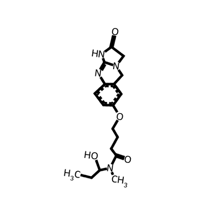 CCC(O)N(C)C(=O)CCCOc1ccc2c(c1)CN1CC(=O)NC1=N2